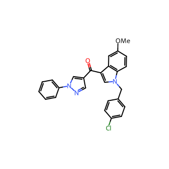 COc1ccc2c(c1)c(C(=O)c1cnn(-c3ccccc3)c1)cn2Cc1ccc(Cl)cc1